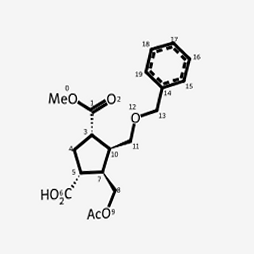 COC(=O)[C@H]1C[C@@H](C(=O)O)[C@H](COC(C)=O)[C@@H]1COCc1ccccc1